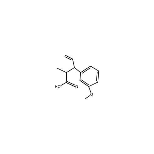 C=CC(c1cccc(OC)c1)C(C)C(=O)O